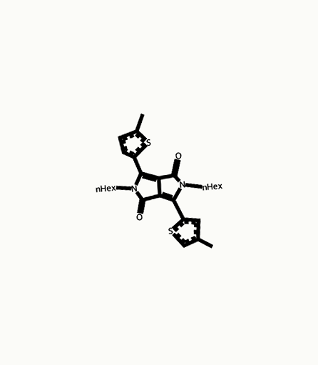 CCCCCCN1C(=O)C2=C(c3ccc(C)s3)N(CCCCCC)C(=O)C2=C1c1cc(C)cs1